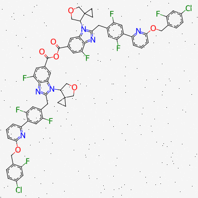 O=C(OC(=O)c1cc(F)c2nc(Cc3cc(F)c(-c4cccc(OCc5ccc(Cl)cc5F)n4)cc3F)n(C3COCC34CC4)c2c1)c1cc(F)c2nc(Cc3cc(F)c(-c4cccc(OCc5ccc(Cl)cc5F)n4)cc3F)n(C3COCC34CC4)c2c1